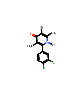 CCc1c(C)n(CC)c(-c2ccc(Cl)c(Cl)c2)c(C(=O)O)c1=O